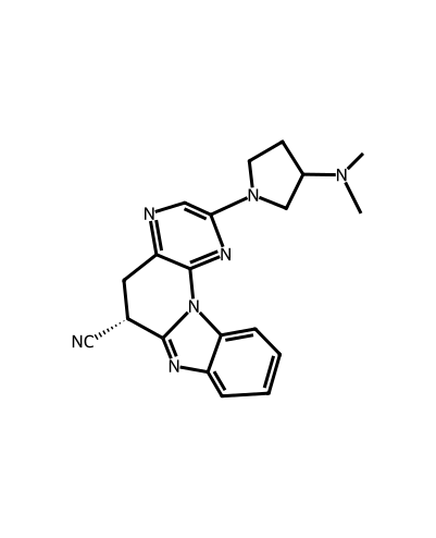 CN(C)C1CCN(c2cnc3c(n2)-n2c(nc4ccccc42)[C@H](C#N)C3)C1